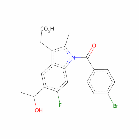 Cc1c(CC(=O)O)c2cc(C(C)O)c(F)cc2n1C(=O)c1ccc(Br)cc1